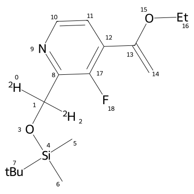 [2H]C([2H])(O[Si](C)(C)C(C)(C)C)c1nccc(C(=C)OCC)c1F